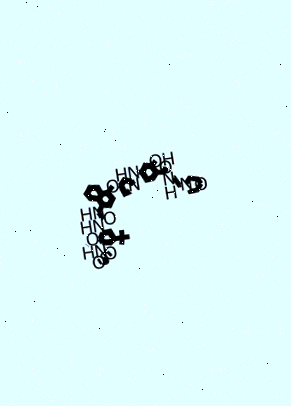 COc1c(NC(=O)Nc2ccc(Oc3ccnc(Nc4ccc(C(=O)NCCN5CCOCC5)c(O)c4)c3)c3ccccc23)cc(C(C)(C)C)cc1NS(C)(=O)=O